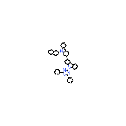 c1ccc(-c2nc(-c3ccccc3)nc(-n3c4ccccc4c4cc(-c5ccc6c7ccccc7n(-c7ccc8ccccc8c7)c6c5)ccc43)n2)cc1